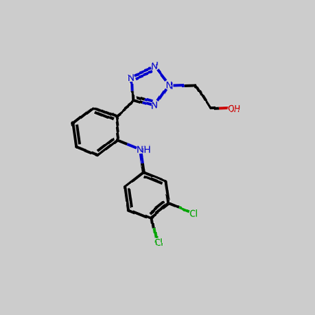 OCCn1nnc(-c2ccccc2Nc2ccc(Cl)c(Cl)c2)n1